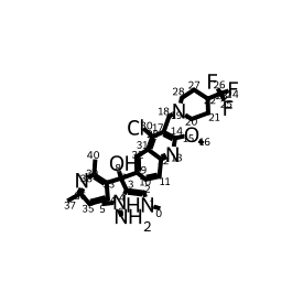 CN/C=C(\N(C)N)C(O)(c1ccc2nc(OC)c(CN3CCC(C(F)(F)F)CC3)c(Cl)c2c1)c1ccc(C)nc1C